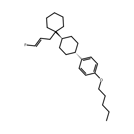 CCCCCOc1ccc([C@H]2CC[C@H](C3(C/C=C/F)CCCCC3)CC2)cc1